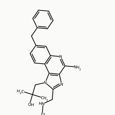 CCNCc1nc2c(N)nc3cc(Cc4ccccc4)ccc3c2n1CC(C)(C)O